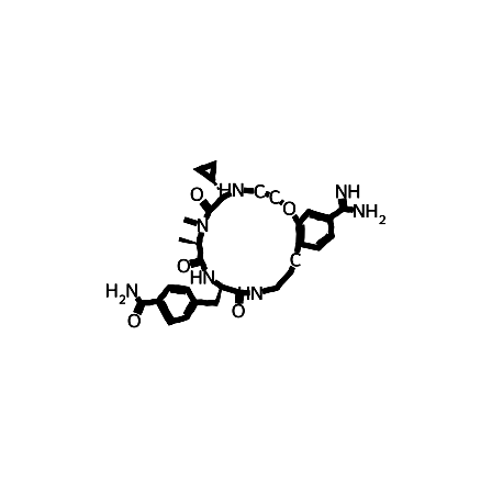 C[C@@H]1C(=O)N[C@H](Cc2ccc(C(N)=O)cc2)C(=O)NCCCc2ccc(C(=N)N)cc2OCCN[C@@H](C2CC2)C(=O)N1C